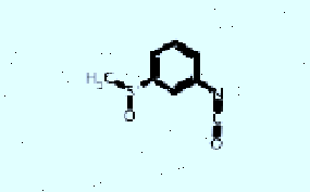 C[S+]([O-])c1cccc(N=C=O)c1